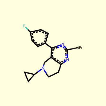 CC(C)c1nc2c(c(-c3ccc(F)cc3)n1)CN(C1CC1)CC2